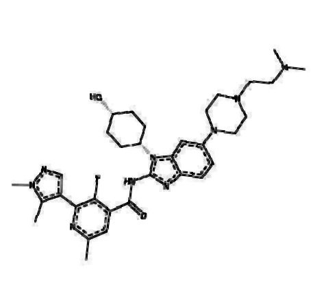 Cc1cc(C(=O)Nc2nc3ccc(N4CCN(CCN(C)C)CC4)cc3n2[C@H]2CC[C@@H](O)CC2)c(F)c(-c2cnn(C)c2C)n1